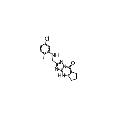 Cc1ccc(Cl)cc1NCc1nc2[nH]c3c(c(=O)n2n1)CCC3